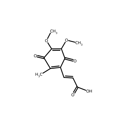 COC1=C(OC)C(=O)C(/C=C/C(=O)O)=C(C)C1=O